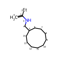 C=C(CC)NCC1CCCCCCCCC1